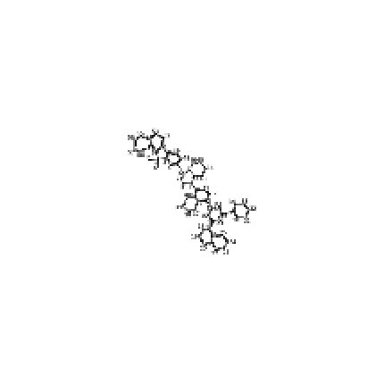 CC1(C)c2cc(C3=CC=C(c4ccc(-c5cc(-c6cccc7ccccc67)nc(-c6ccccc6)n5)c5ccccc45)C4C=CC=CC34)ccc2-c2ccc3ccccc3c21